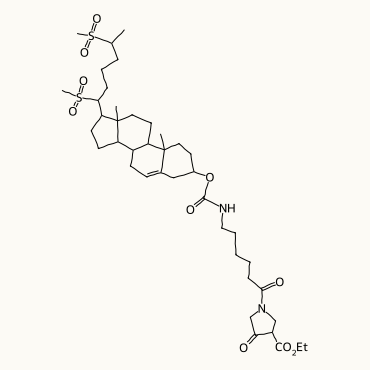 CCOC(=O)C1CN(C(=O)CCCCCNC(=O)OC2CCC3(C)C(=CCC4C3CCC3(C)C4CCC3C(CCCC(C)S(C)(=O)=O)S(C)(=O)=O)C2)CC1=O